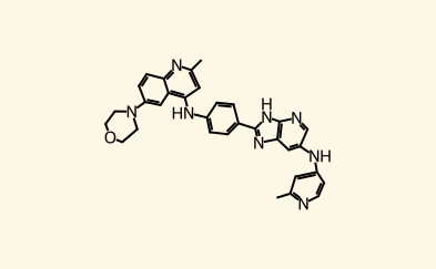 Cc1cc(Nc2cnc3[nH]c(-c4ccc(Nc5cc(C)nc6ccc(N7CCOCC7)cc56)cc4)nc3c2)ccn1